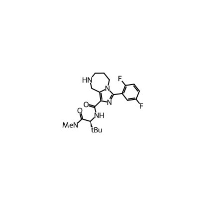 CNC(=O)[C@@H](NC(=O)c1nc(-c2cc(F)ccc2F)n2c1CNCCC2)C(C)(C)C